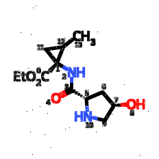 CCOC(=O)[C@@]1(NC(=O)[C@@H]2C[C@@H](O)CN2)CC1C